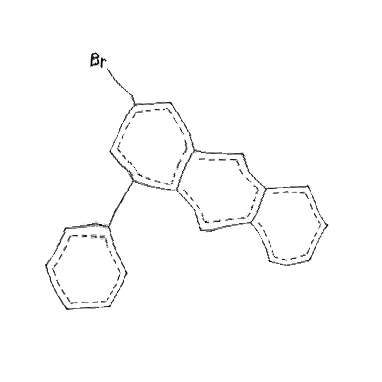 Brc1cc(-c2ccccc2)c2cc3ccccc3cc2c1